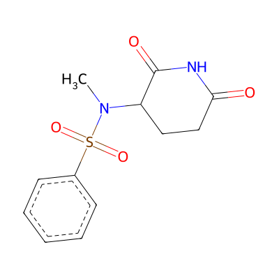 CN(C1CCC(=O)NC1=O)S(=O)(=O)c1ccccc1